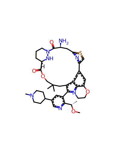 CO[C@@H](C)c1ncc(C2CCN(C)CC2)cc1-c1c2c3cc(cc4c3n1CCO4)-c1csc(n1)C[C@H](N)C(=O)N1CCC[C@H](N1)C(=O)OCC(C)(C)C2